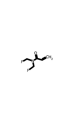 C=CC(=O)N(CF)CF